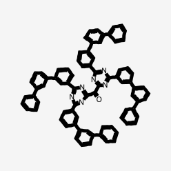 O=C(c1nc(-c2cccc(-c3cccc(-c4ccccc4)c3)c2)nc(-c2cccc(-c3cccc(-c4ccccc4)c3)c2)n1)c1nc(-c2cccc(-c3cccc(-c4ccccc4)c3)c2)nc(-c2cccc(-c3cccc(-c4ccccc4)c3)c2)n1